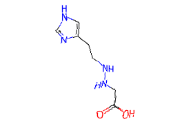 O=C(O)CNNCCc1c[nH]cn1